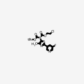 Cc1nc(-c2cncc(F)c2)sc1N(C(=O)OCCCl)C(=O)OC(C)(C)C